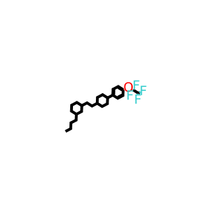 CCCCC1CCCC(CCC2CCC(c3ccc(OC(F)(F)C(F)F)cc3)CC2)C1